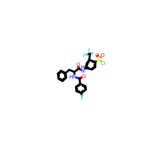 O=C(NC(Cc1ccccc1)C(=O)Nc1ccc(S(=O)(=O)Cl)c(C(F)(F)F)c1)c1ccc(F)cc1